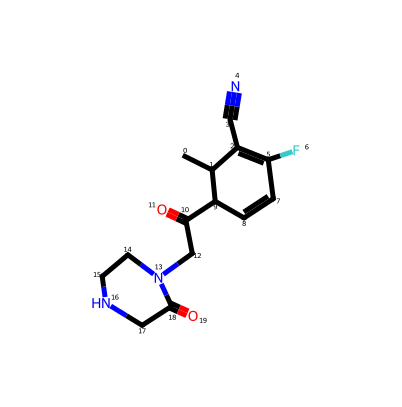 CC1C(C#N)=C(F)C=CC1C(=O)CN1CCNCC1=O